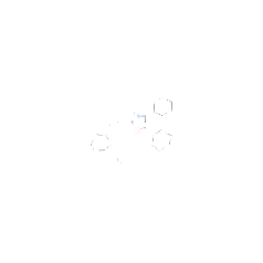 COc1cccc(C2CC2c2nc(-c3ccccc3)c(-c3ccccc3)o2)c1